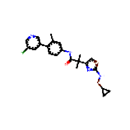 Cc1cc(NC(=O)C(C)(C)c2csc(NSC3CC3)n2)ccc1-c1cncc(Cl)c1